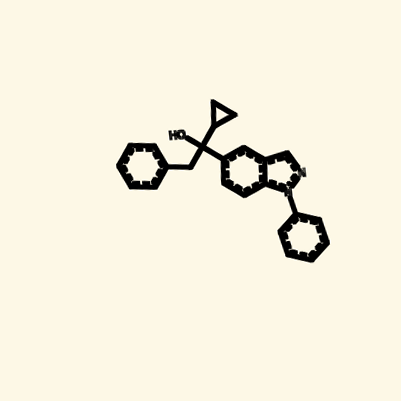 OC(Cc1ccccc1)(c1ccc2c(cnn2-c2ccccc2)c1)C1CC1